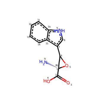 N[C@@]1(C(=O)O)OC1c1c[nH]c2ccccc12